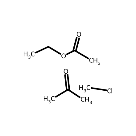 CC(C)=O.CCOC(C)=O.CCl